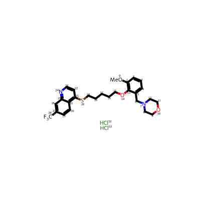 COc1cccc(CN2CCOCC2)c1OCCCCCSc1ccnc2cc(C(F)(F)F)ccc12.Cl.Cl